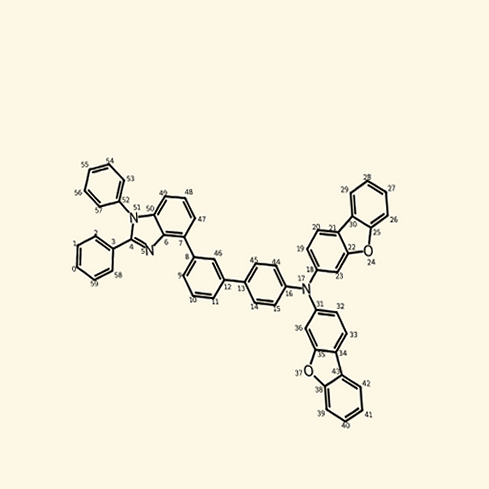 c1ccc(-c2nc3c(-c4cccc(-c5ccc(N(c6ccc7c(c6)oc6ccccc67)c6ccc7c(c6)oc6ccccc67)cc5)c4)cccc3n2-c2ccccc2)cc1